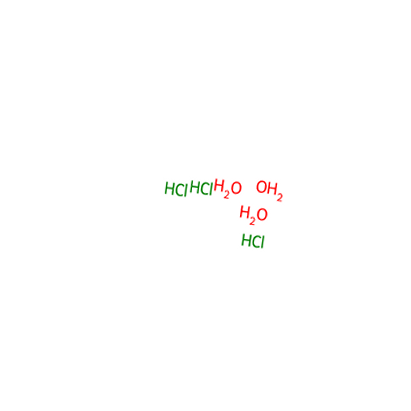 Cl.Cl.Cl.O.O.O